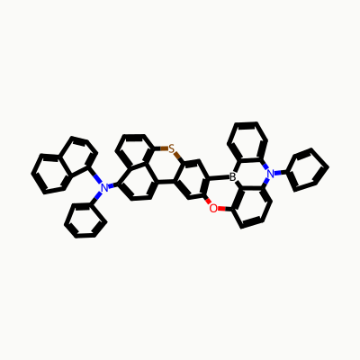 c1ccc(N2c3ccccc3B3c4cc5c(cc4Oc4cccc2c43)-c2ccc(N(c3ccccc3)c3cccc4ccccc34)c3cccc(c23)S5)cc1